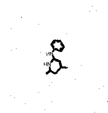 CC1CC(C)NC(Nc2ccccc2)C1